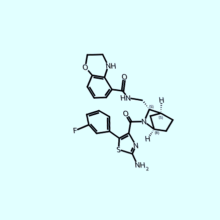 Nc1nc(C(=O)N2[C@@H]3CC[C@@H](C3)[C@H]2CNC(=O)c2cccc3c2NCCO3)c(-c2cccc(F)c2)s1